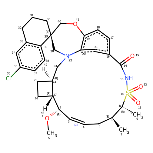 CO[C@H]1/C=C\C[C@H](C)[C@@H](C)S(=O)(=O)NC(=O)c2ccc3c(c2)N(C[C@@H]2CC[C@H]21)C[C@@]1(CCCc2cc(Cl)ccc21)CO3